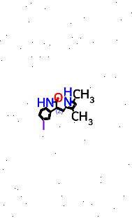 Cc1cc(C)c(/C=C2\C(=O)Nc3ccc(I)cc32)[nH]1